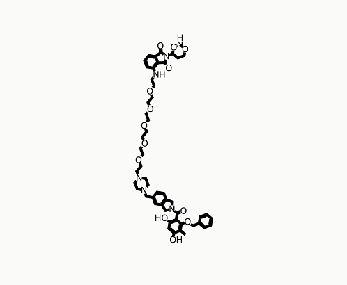 Cc1c(O)cc(O)c(C(=O)N2Cc3ccc(CN4CCN(CCOCCOCCOCCOCCOCCNc5cccc6c5C(=O)N(C5CCONO5)C6=O)CC4)cc3C2)c1OCc1ccccc1